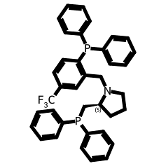 FC(F)(F)c1ccc(P(c2ccccc2)c2ccccc2)c(CN2CCC[C@H]2CP(c2ccccc2)c2ccccc2)c1